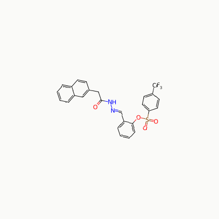 O=C(Cc1ccc2ccccc2c1)NN=Cc1ccccc1OS(=O)(=O)c1ccc(C(F)(F)F)cc1